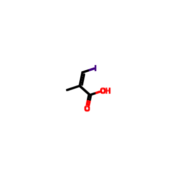 CC(=CI)C(=O)O